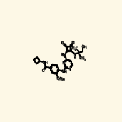 COc1cc(C(=O)NC2CCC2)ccc1Nc1nccc(Nc2c(NC(C)(C)CO)c(=O)c2=O)n1